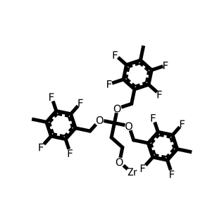 Cc1c(F)c(F)c(COC(CC[O][Zr])(OCc2c(F)c(F)c(C)c(F)c2F)OCc2c(F)c(F)c(C)c(F)c2F)c(F)c1F